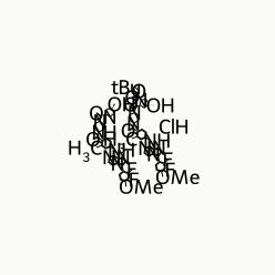 COc1ccc(-c2cnc3c(Nc4ccc(C(=O)N5CCN(C(=O)[C@@H]6C[C@@H](O)CN6)CC5)c(C)c4)nccn23)c(F)c1F.COc1ccc(-c2cnc3c(Nc4ccc(C(=O)N5CCN(C(=O)[C@@H]6C[C@@H](O)CN6C(=O)OC(C)(C)C)CC5)c(C)c4)nccn23)c(F)c1F.Cl